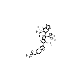 CC(=O)CN1CCC2(CC1)C[C@@H](c1sc3[nH]c(-c4cn5ncnc5c(C)c4C)c(C(C)C)c3c1C)CO2